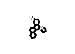 FC(F)(F)C1CCc2ccc3c(ccc4ccccc43)c2C1.c1ccoc1